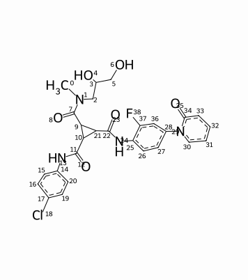 CN(CC(O)CO)C(=O)C1C(C(=O)Nc2ccc(Cl)cc2)C1C(=O)Nc1ccc(-n2ccccc2=O)cc1F